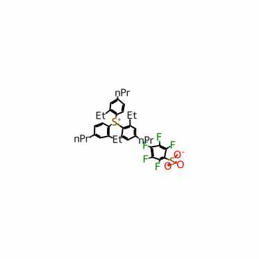 CCCc1ccc([S+](c2ccc(CCC)cc2CC)c2ccc(CCC)cc2CC)c(CC)c1.O=S(=O)([O-])c1c(F)c(F)c(F)c(F)c1F